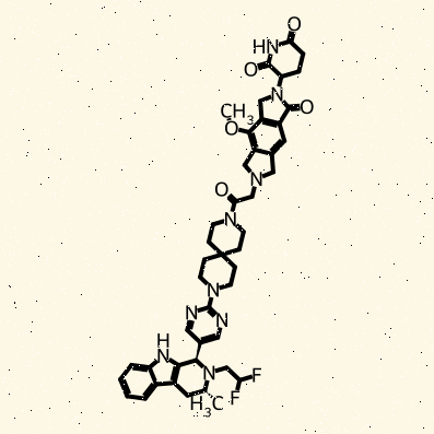 COc1c2c(cc3c1CN(C1CCC(=O)NC1=O)C3=O)CN(CC(=O)N1CCC3(CC1)CCN(c1ncc([C@@H]4c5[nH]c6ccccc6c5C[C@@H](C)N4CC(F)F)cn1)CC3)C2